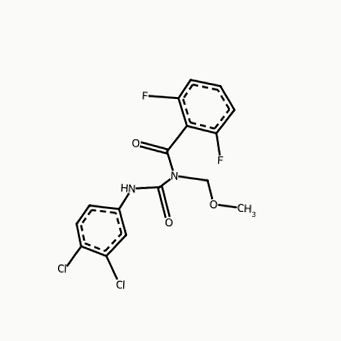 COCN(C(=O)Nc1ccc(Cl)c(Cl)c1)C(=O)c1c(F)cccc1F